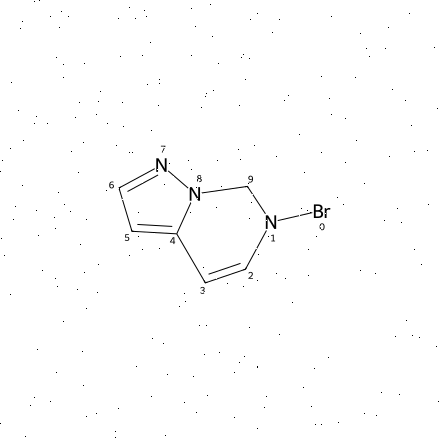 BrN1C=Cc2ccnn2C1